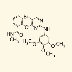 CNC(=O)c1ccccc1Oc1nc(Nc2cc(OC)c(OC)c(OC)c2)ncc1Br